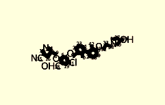 Cc1c(COc2cc(OCc3cncc(C#N)c3)c(C=O)cc2Cl)cccc1-c1cccc(OCCCN2CCC(O)C2)c1C